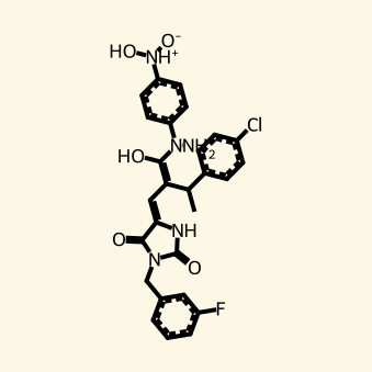 CC(C(/C=C1\NC(=O)N(Cc2cccc(F)c2)C1=O)=C(/O)N(N)c1ccc([NH+]([O-])O)cc1)c1ccc(Cl)cc1